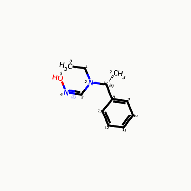 CCN(/C=N\O)[C@H](C)c1ccccc1